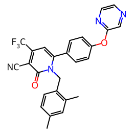 Cc1ccc(Cn2c(-c3ccc(Oc4cnccn4)cc3)cc(C(F)(F)F)c(C#N)c2=O)c(C)c1